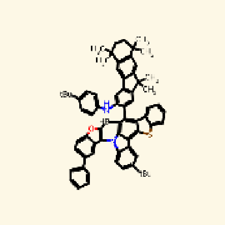 CC(C)(C)c1ccc(Nc2cc3c(cc2-c2c4c5c(c6cc(C(C)(C)C)ccc6n5-c5c(oc6ccc(-c7ccccc7)cc56)B4)c4sc5ccccc5c24)C(C)(C)c2cc4c(cc2-3)C(C)(C)CCC4(C)C)cc1